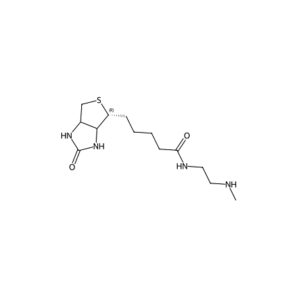 CNCCNC(=O)CCCC[C@H]1SCC2NC(=O)NC21